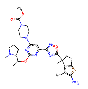 C[C@H](Oc1nc(-c2noc(C3(C)CCc4sc(N)c(C#N)c43)n2)cc(N2CCN(C(=O)OC(C)(C)C)CC2)n1)[C@@H]1CCCN1C